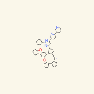 C1=C\c2ccc(-c3cc(-c4ccc(-c5cccnc5)nc4)nc(-c4ccccc4)n3)cc2-c2cc3oc4ccccc4c3cc2Oc2ccccc2-c2ccccc2/1